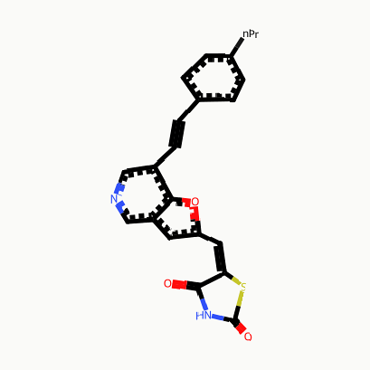 CCCc1ccc(C#Cc2cncc3cc(/C=C4/SC(=O)NC4=O)oc23)cc1